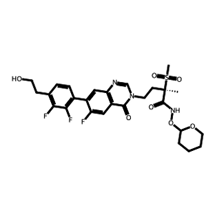 C[C@@](CCn1cnc2cc(-c3ccc(CCO)c(F)c3F)c(F)cc2c1=O)(C(=O)NOC1CCCCO1)S(C)(=O)=O